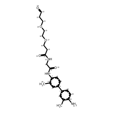 Cc1cc(-c2ccc(NC(=O)CNC(=O)CCOCCOCCC=O)c(C)c2)ccc1N